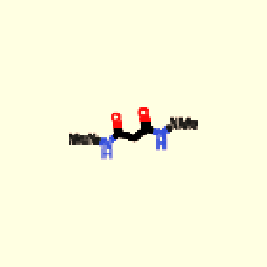 CNNC(=O)CC(=O)NNC